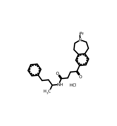 CC(CCc1ccccc1)NC(=O)CCC(=O)c1ccc2c(c1)CCN(C(C)C)CC2.Cl